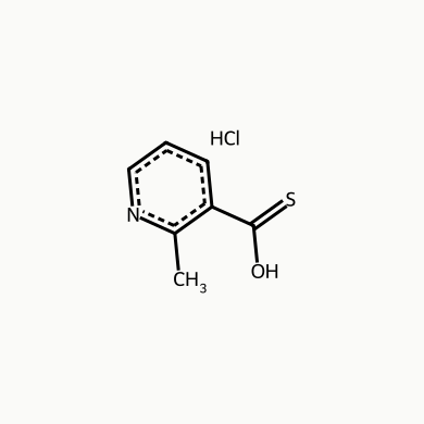 Cc1ncccc1C(O)=S.Cl